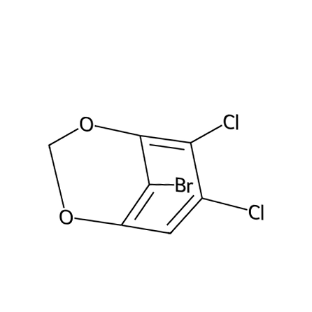 Clc1cc2c(Br)c(c1Cl)OCO2